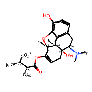 CCN(C)[C@@H]1Cc2ccc(O)c3c2[C@@]2(C)[C@@H](O3)C(OC(=O)[C@H](OC(C)=O)[C@@H](OC(C)=O)C(=O)O)=CC[C@@]12O